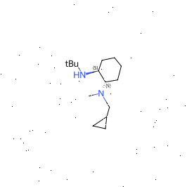 CN(CC1CC1)[C@H]1CCCC[C@@H]1NC(C)(C)C